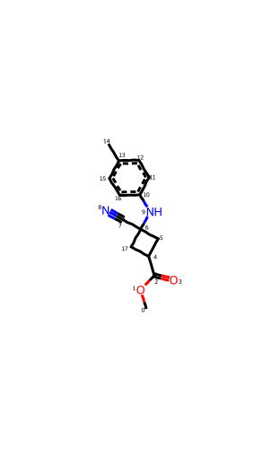 COC(=O)C1CC(C#N)(Nc2ccc(C)cc2)C1